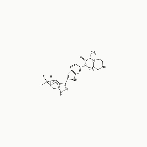 C[C@@H](C(=O)N(C)c1ccc2cc(-c3n[nH]c4c3C[C@@H]3C(F)(F)[C@]3(C)C4)[nH]c2c1)N1CCNCC1